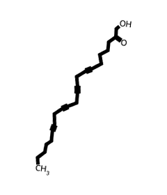 CCCCCC#CCC#CCC#CCC#CCCCCC(=O)CO